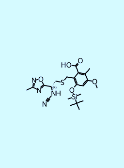 COc1cc(O[Si](C)(C)C(C)(C)C)c(CSC[C@H](NC#N)c2nc(C)no2)c(C(=O)O)c1C